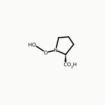 O=C(O)[C@@H]1CCCN1OO